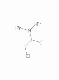 CC(C)N(C(C)C)C(Cl)CCl